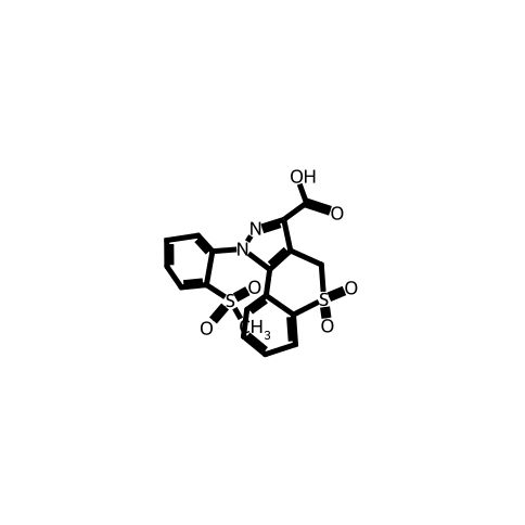 CS(=O)(=O)c1ccccc1-n1nc(C(=O)O)c2c1-c1ccccc1S(=O)(=O)C2